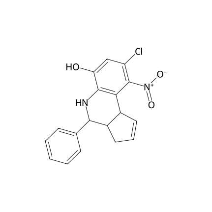 O=[N+]([O-])c1c(Cl)cc(O)c2c1C1C=CCC1C(c1ccccc1)N2